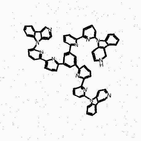 C1=Cc2c(c3ccccc3n2-c2cccc(-c3cccc(-c4cc(-c5cccc(-c6cccc(-n7c8ccccc8c8cnccc87)n6)n5)cc(-c5cccc(-c6cccc(-n7c8ccccc8c8cnccc87)n6)n5)c4)n3)n2)CN1